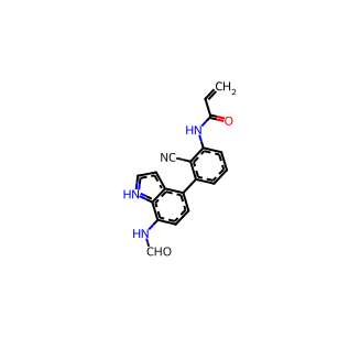 C=CC(=O)Nc1cccc(-c2ccc(NC=O)c3[nH]ccc23)c1C#N